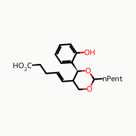 CCCCCC1OCC(C=CCCC(=O)O)[C@@H](c2ccccc2O)O1